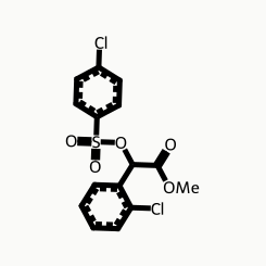 COC(=O)C(OS(=O)(=O)c1ccc(Cl)cc1)c1ccccc1Cl